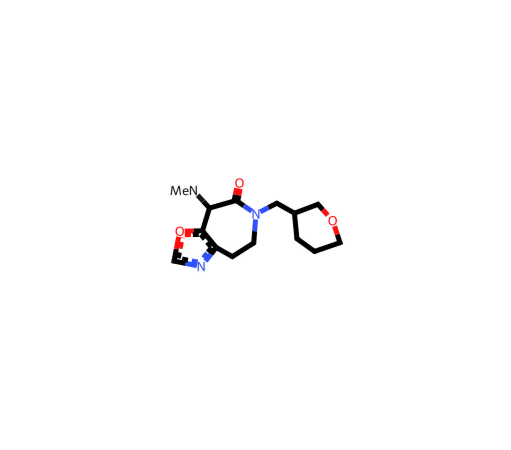 CNC1C(=O)N(CC2CCCOC2)CCc2ncoc21